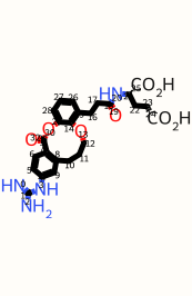 N=C(N)Nc1ccc2c(c1)CCCOc1c(CCC(=O)N[C@@H](CCC(=O)O)C(=O)O)cccc1OC2=O